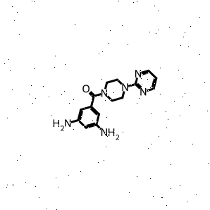 Nc1cc(N)cc(C(=O)N2CCN(c3ncccn3)CC2)c1